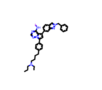 CCCN(CC)CCCCc1ccc(-c2cc(-c3ccc4cn(Cc5ccccc5)nc4c3)c3c(NI)ncnn23)cc1